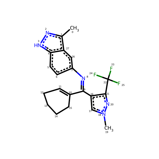 Cc1n[nH]c2ccc(/N=C(\C3=CCCCC3)c3cn(C)nc3C(F)(F)F)cc12